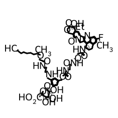 C#CCCCCCC(C)OCC(=O)NCCNCc1cc(COC(=O)NCC(=O)NCOCC(=O)N[C@H]2CCc3c(C)c(F)cc4nc5c(c2c34)Cn2c-5cc3c(c2=O)COC(=O)[C@]3(O)CC)ccc1O[C@@H]1O[C@H](C(=O)O)[C@@H](O)[C@H](O)[C@H]1O